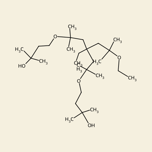 CCOC(C)(C)CC(CC)(CC(C)(C)OCCC(C)(C)O)CC(C)(C)OCCC(C)(C)O